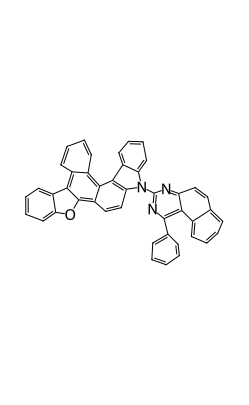 c1ccc(-c2nc(-n3c4ccccc4c4c5c6ccccc6c6c7ccccc7oc6c5ccc43)nc3ccc4ccccc4c23)cc1